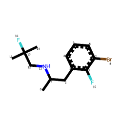 CC(Cc1cccc(Br)c1F)NCC(C)(C)F